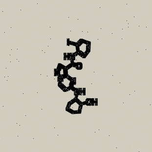 O=C(Nc1ccccc1I)c1cnn2ccc(N[C@@H]3CCCC[C@@H]3O)nc12